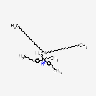 CCCCCCCCCCCCCCCCCCCC[CH2][Ni][CH2]CCCCCCCCCCCCCCCCCCCC.CCCCCCc1ccc(C2=C(CCC)C(CCCC)=C(c3ccc(CCCC)cc3)[N+]2=[N-])cc1